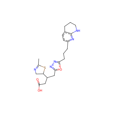 CC1=NCC(C(CC(=O)O)Cc2nnc(CCCc3ccc4c(n3)NCCC4)o2)S1